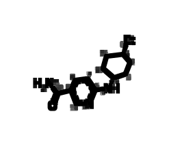 CC[C@H]1CC[C@H](Nc2ccc(C(N)=O)cn2)CC1